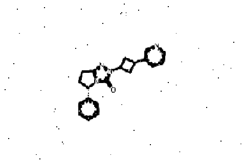 O=c1n(C2CC(c3cccnc3)C2)nc2n1[C@H](c1ccccc1)CC2